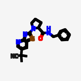 CC(C)(C#N)c1cnc2nc(N3CCCC3C(=O)NCc3ccccc3)sc2c1